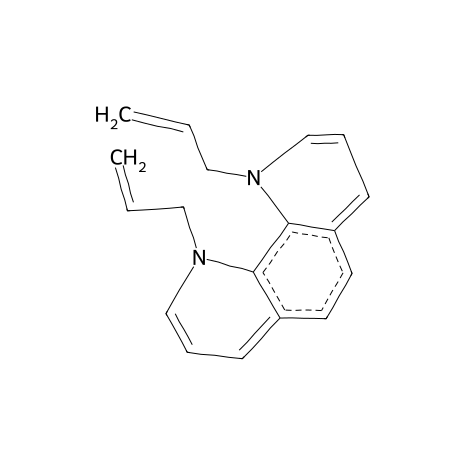 C=CCN1C=CC=c2ccc3c(c21)N(CC=C)C=CC=3